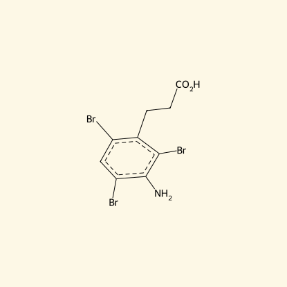 Nc1c(Br)cc(Br)c(CCC(=O)O)c1Br